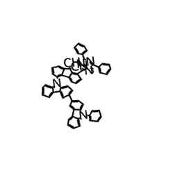 CC1(C)c2cccc(-n3c4ccccc4c4cc(-c5ccc6c(c5)c5ccccc5n6-c5ccccc5)ccc43)c2-c2cccc(-c3nc(-c4ccccc4)nc(-c4ccccc4)n3)c21